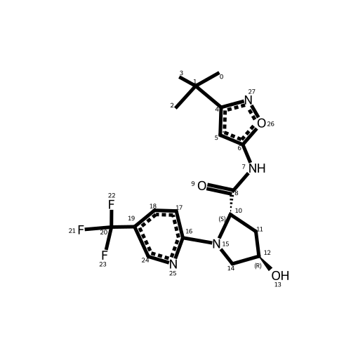 CC(C)(C)c1cc(NC(=O)[C@@H]2C[C@@H](O)CN2c2ccc(C(F)(F)F)cn2)on1